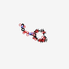 C=C1C[C@@H]2CC[C@]34CC[C@H](O3)[C@@H]3O[C@H]5CC[C@H](CC(=O)C[C@@H]6[C@@H](OC)[C@@H](C[C@H](O)CNC(=O)OCOC(=O)C7CCC(CN8C(=O)C=CC8=O)CC7)O[C@H]6C[C@H]6O[C@H](CCC6=C)CC[C@@H]1O2)O[C@@H]5[C@H](O4)[C@@H]3O